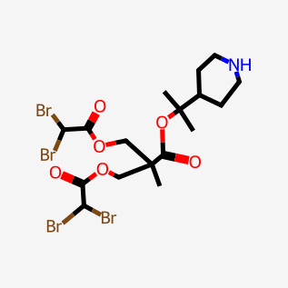 CC(COC(=O)C(Br)Br)(COC(=O)C(Br)Br)C(=O)OC(C)(C)C1CCNCC1